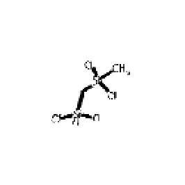 C[Si](Cl)(Cl)C[SiH](Cl)Cl